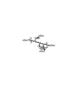 CCCCCCCCCCCCNC(=O)CCN(CCCCN(CCCN(CCC(=O)NCCCCCCCCCCCC)CCC(=O)NCCCCCCCCCCCC)CCC(=O)NCCCCCCCCCCC)CCC(=O)NCCCCCCCCCCCC